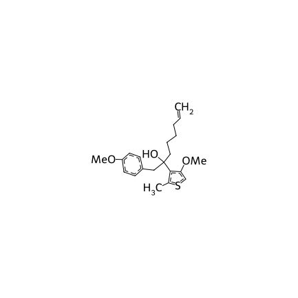 C=CCCCCC(O)(Cc1ccc(OC)cc1)c1c(OC)csc1C